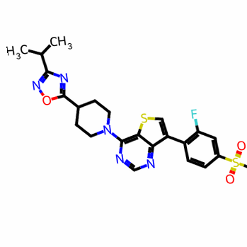 CC(C)c1noc(C2CCN(c3ncnc4c(-c5ccc(S(C)(=O)=O)cc5F)csc34)CC2)n1